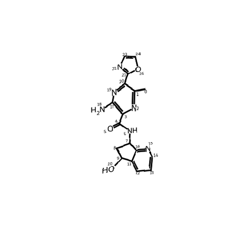 Cc1nc(C(=O)NC2CC(O)c3cccnc32)c(N)nc1-c1ncco1